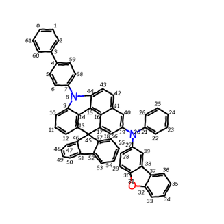 c1ccc(-c2ccc(-n3c4cccc5c4c4c6c(cc(N(c7ccccc7)c7ccc8oc9ccccc9c8c7)cc6ccc43)C53c4ccccc4-c4ccccc43)cc2)cc1